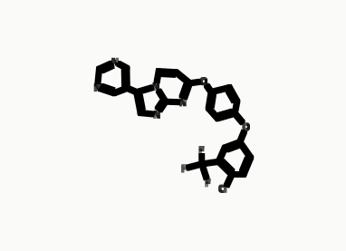 FC(F)(F)c1cc(Oc2ccc(Oc3ccn4c(-c5cncnc5)cnc4n3)cc2)ccc1Cl